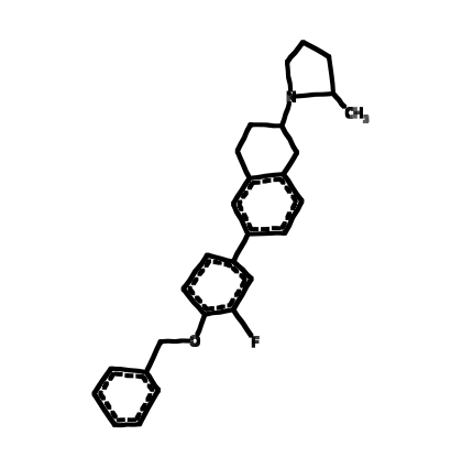 CC1CCCN1C1CCc2cc(-c3ccc(OCc4ccccc4)c(F)c3)ccc2C1